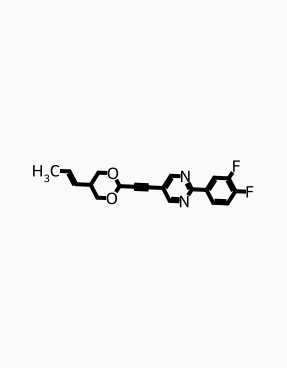 C/C=C/C1COC(C#Cc2cnc(-c3ccc(F)c(F)c3)nc2)OC1